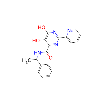 CC(NC(=O)c1nc(-c2ccccn2)nc(O)c1O)c1ccccc1